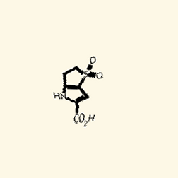 O=C(O)c1cc2c([nH]1)CCS2(=O)=O